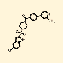 Cc1cc(-c2ccc(C(=O)N3CCN(S(=O)(=O)c4cc5cc(Cl)ccc5[nH]4)CC3)cc2)ccn1